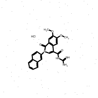 COc1cc2c(C(=O)NC(=N)N)cn(-c3ccc4ccccc4c3)c(=O)c2cc1OC.Cl